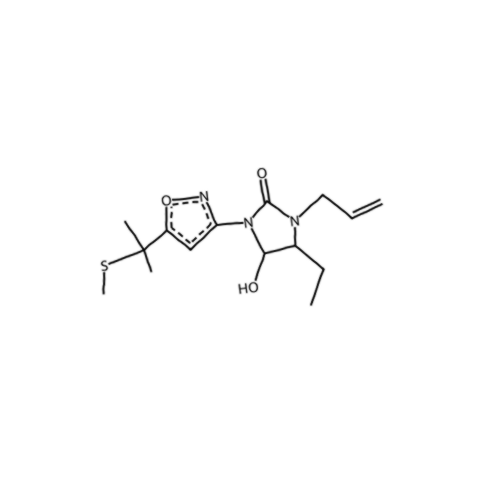 C=CCN1C(=O)N(c2cc(C(C)(C)SC)on2)C(O)C1CC